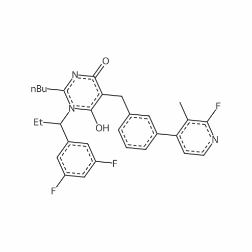 CCCCc1nc(=O)c(Cc2cccc(-c3ccnc(F)c3C)c2)c(O)n1C(CC)c1cc(F)cc(F)c1